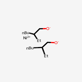 CCCCC(CC)C[O-].CCCCC(CC)C[O-].[Ni+2]